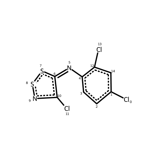 Clc1ccc(/N=c2/ssnc2Cl)c(Cl)c1